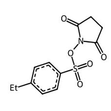 CCc1ccc(S(=O)(=O)ON2C(=O)CCC2=O)cc1